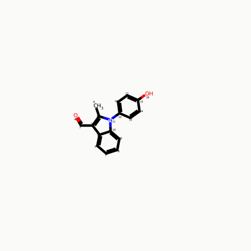 Cc1c(C=O)c2ccccc2n1-c1ccc(O)cc1